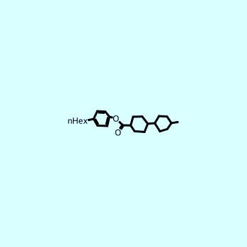 CCCCCCc1ccc(OC(=O)C2CCC(C3CCC(C)CC3)CC2)cc1